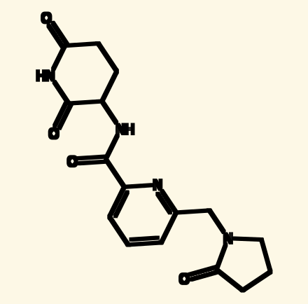 O=C1CCC(NC(=O)c2cccc(CN3CCCC3=O)n2)C(=O)N1